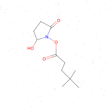 CC(C)(C)CCC(=O)ON1C(=O)CCC1O